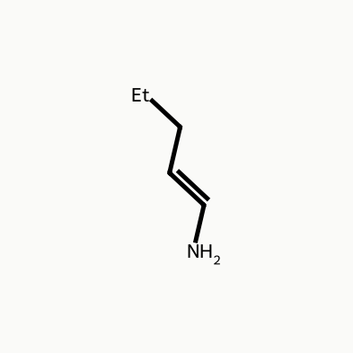 CCCC=CN